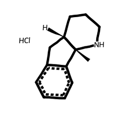 C[C@]12NCCC[C@H]1Cc1ccccc12.Cl